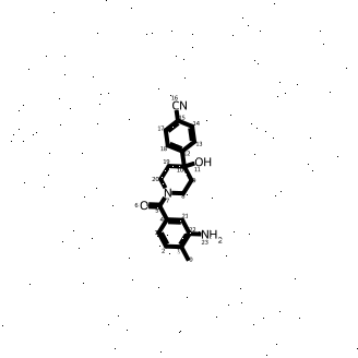 Cc1ccc(C(=O)N2CCC(O)(c3ccc(C#N)cc3)CC2)cc1N